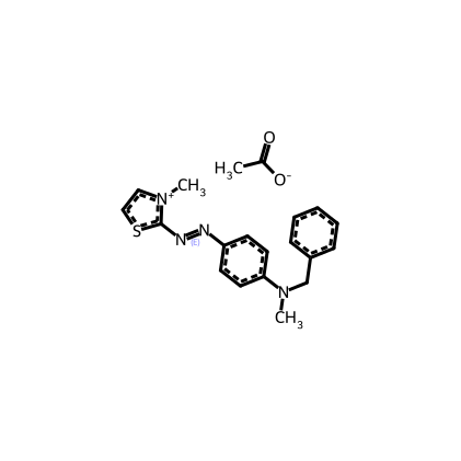 CC(=O)[O-].CN(Cc1ccccc1)c1ccc(/N=N/c2scc[n+]2C)cc1